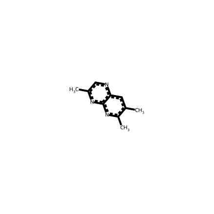 Cc1cnc2cc(C)c(C)nc2n1